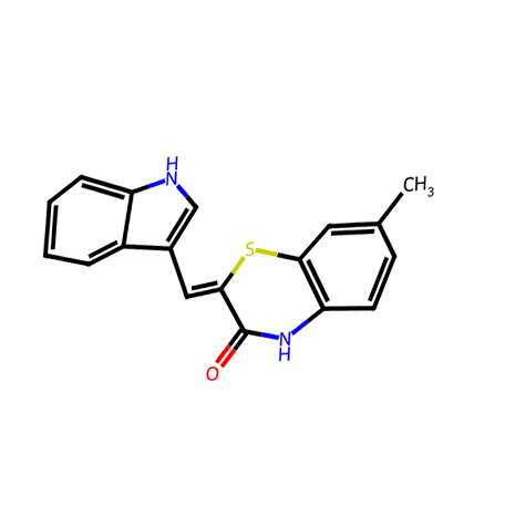 Cc1ccc2c(c1)SC(=Cc1c[nH]c3ccccc13)C(=O)N2